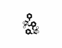 O=C1OC[C@H](Cc2ccccc2)N1Cc1ccccc1CN1C(=O)OC[C@@H]1Cc1ccccc1